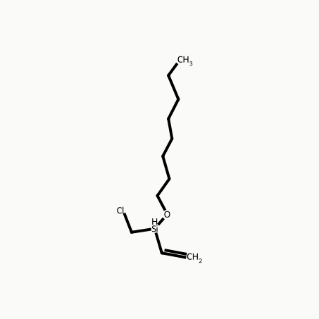 C=C[SiH](CCl)OCCCCCCCC